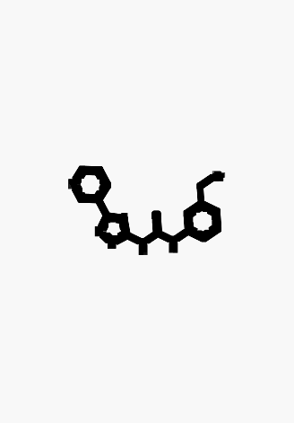 CC(C)Cc1cccc(NC(=O)Nc2nnc(-c3cccnc3)s2)c1